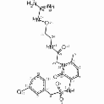 Cc1ccc(NS(=O)(=O)Cc2cccc(Cl)c2)c(=O)n1CC(=O)NCCONC(=N)N